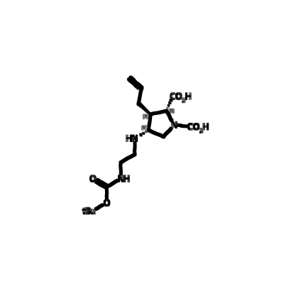 C=CC[C@@H]1[C@@H](NCCNC(=O)OC(C)(C)C)CN(C(=O)O)[C@H]1C(=O)O